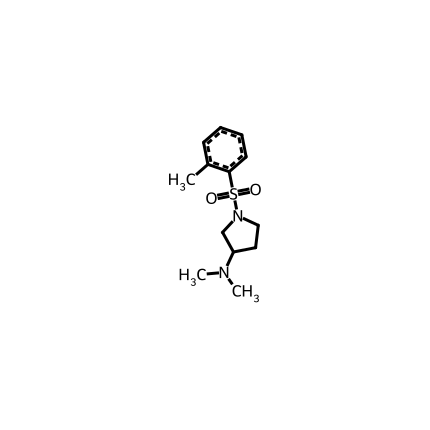 Cc1ccccc1S(=O)(=O)N1CCC(N(C)C)C1